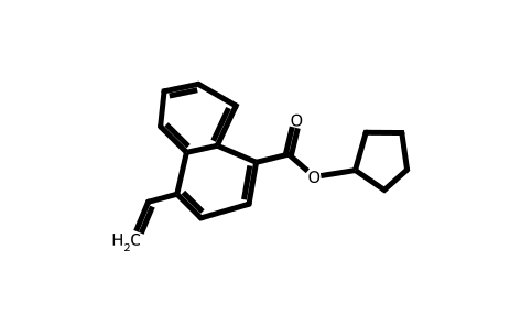 C=Cc1ccc(C(=O)OC2CCCC2)c2ccccc12